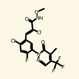 CONC(=O)C(Cl)=Cc1cc(-n2ncc(C(F)(F)F)c(C)c2=O)c(F)cc1Cl